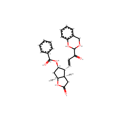 O=C1C[C@@H]2[C@@H](/C=C/C(=O)C3OCc4ccccc4O3)[C@H](OC(=O)c3ccccc3)C[C@@H]2O1